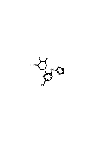 CC(C)c1cc(N2CC(C)C(O)C(N)C2)c(Nc2ccco2)cn1